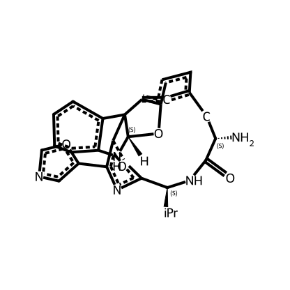 CC(C)[C@@H]1NC(=O)[C@@H](N)Cc2ccc3c(c2)C2(c4ccccc4N[C@H]2O3)c2oc1nc2-c1cnco1